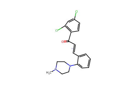 CN1CCN(c2ccccc2/C=C/C(=O)c2ccc(Cl)cc2Cl)CC1